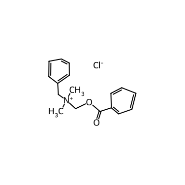 C[N+](C)(COC(=O)c1ccccc1)Cc1ccccc1.[Cl-]